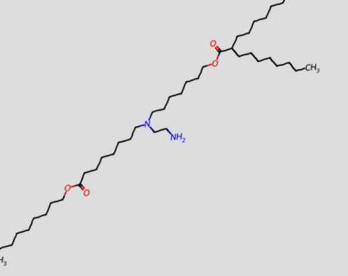 CCCCCCCCCOC(=O)CCCCCCCN(CCN)CCCCCCCOC(=O)C(CCCCCCCC)CCCCCCCC